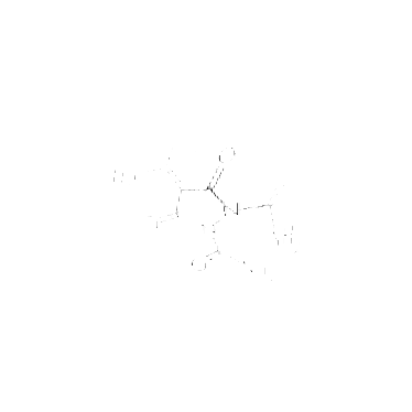 CC(C)=C1C(=O)N(C(N)=O)N(C(N)=O)C1=O